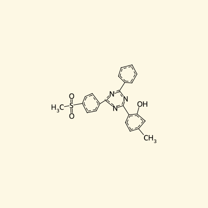 Cc1ccc(-c2nc(-c3ccccc3)nc(-c3ccc(S(C)(=O)=O)cc3)n2)c(O)c1